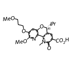 COCCCOc1cc2c(nc1OC)-c1c(cc(C(=O)O)c(=O)n1C)[C@@H](C(C)C)O2